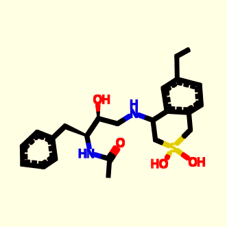 CCc1ccc2c(c1)C(NC[C@H](O)[C@H](Cc1ccccc1)NC(C)=O)CS(O)(O)C2